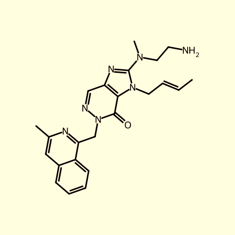 C/C=C/Cn1c(N(C)CCN)nc2cnn(Cc3nc(C)cc4ccccc34)c(=O)c21